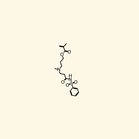 C=C(C)C(=O)OCCCN(C)CCC(=O)NS(=O)(=O)c1ccccc1